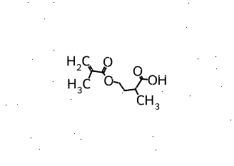 C=C(C)C(=O)OCCC(C)C(=O)O